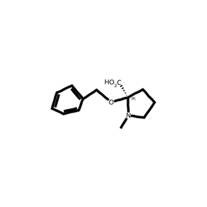 CN1CCC[C@@]1(OCc1ccccc1)C(=O)O